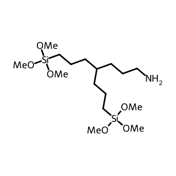 CO[Si](CCCC(CCCN)CCC[Si](OC)(OC)OC)(OC)OC